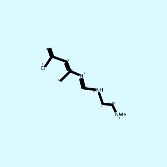 C=C(Cl)/C=C(C)/N=C/NCCNC